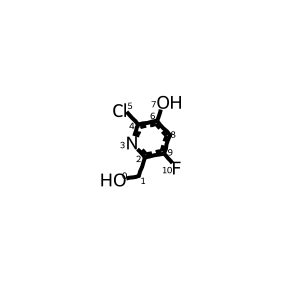 OCc1nc(Cl)c(O)cc1F